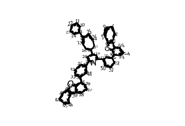 c1ccc2c(c#1)oc1c(C3=CC(c4cc(C5=CC=C(c6ccccc6)C=CC5)cc(-c5cccc(-c6cccc7c6oc6ccccc67)c5)n4)=CCC3)cccc12